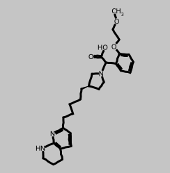 COCCOc1ccccc1C(C(=O)O)N1CC[C@@H](CCCCCc2ccc3c(n2)NCCC3)C1